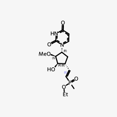 CCOP(C)(=O)/C=C/[C@H]1C[C@@H](n2ccc(=O)[nH]c2=O)[C@H](OC)[C@@H]1O